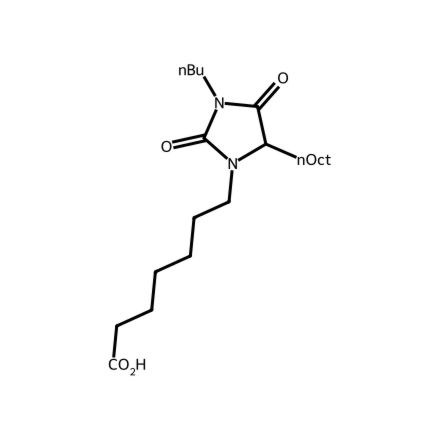 CCCCCCCCC1C(=O)N(CCCC)C(=O)N1CCCCCCC(=O)O